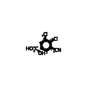 N#Cc1cccc(Cl)c1Cl.O=C(O)O